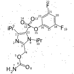 CC(C)c1nc(COC(N)=O)n(C(C)C)c1S(=O)(=O)Oc1cc(F)cc(F)c1